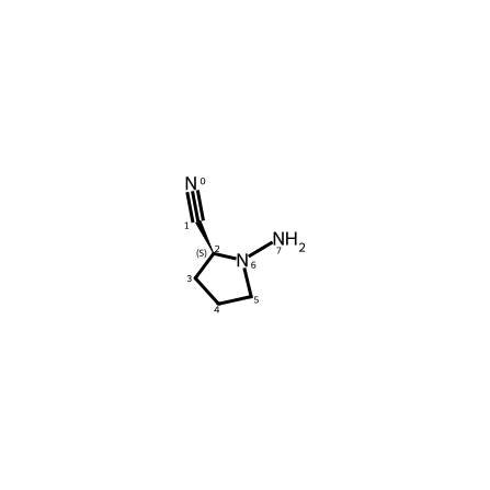 N#C[C@@H]1CCCN1N